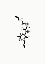 C=CCOC(=O)N[C@@H](C)C(=O)NC(OC(C)=O)C(=O)OCC=C